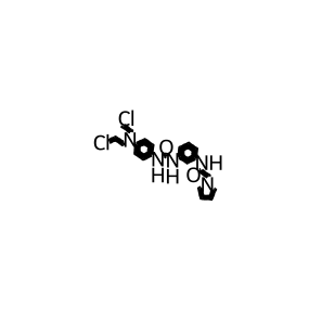 O=C(CN1CCCC1)Nc1cccc(NC(=O)Nc2ccc(N(CCCl)CCCl)cc2)c1